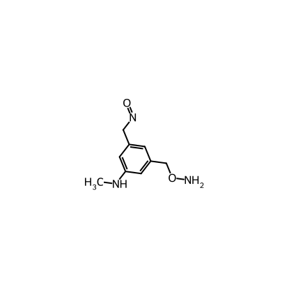 CNc1cc(CN=O)cc(CON)c1